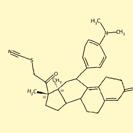 CN(C)c1ccc(C2C[C@@]3(C)C(CC[C@]3(C)C(=O)CSC#N)C3CCC4=CC(=O)CCC4=C23)cc1